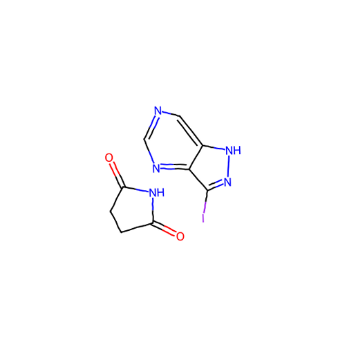 Ic1n[nH]c2cncnc12.O=C1CCC(=O)N1